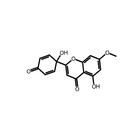 COc1cc(O)c2c(=O)cc(C3(O)C=CC(=O)C=C3)oc2c1